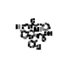 CCOC(=O)C(Cc1ccccc1)NC(Cc1ccccc1)C(=O)N(CC(=O)O)Cc1ccccc1Cl